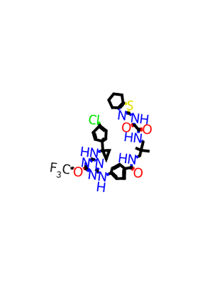 CC(C)(CNC(=O)C(=O)Nc1nc2c(s1)CCCC2)CNC(=O)c1ccc(Nc2nc(NC3(c4ccc(Cl)cc4)CC3)nc(OCC(F)(F)F)n2)cc1